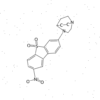 O=[N+]([O-])c1ccc2c(c1)-c1ccc(N3CCN4CCC3CC4)cc1S2(=O)=O